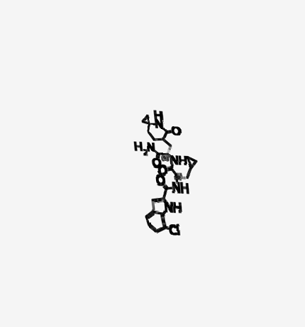 NC(=O)[C@H](CC1CCC2(CC2)NC1=O)NC(=O)[C@H](CC1CC1)NC(=O)c1cc2cccc(Cl)c2[nH]1